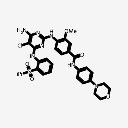 COc1cc(C(=O)Nc2ccc(N3CCOCC3)cc2)ccc1Nc1nc(N)c(Cl)c(Nc2ccccc2S(=O)(=O)C(C)C)n1